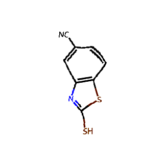 N#Cc1ccc2sc(S)nc2c1